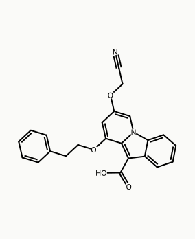 N#CCOc1cc(OCCc2ccccc2)c2c(C(=O)O)c3ccccc3n2c1